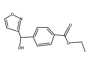 CCOC(=O)c1ccc(C(O)c2ccon2)cc1